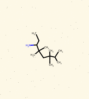 CCC(N)C(C)(C)CC(C)(C)C(C)C